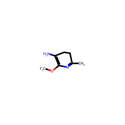 CC1=NC(OC(F)(F)F)=C(N)CC1